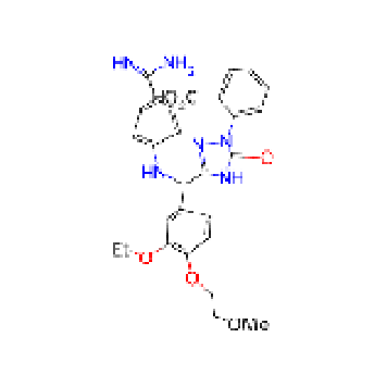 CCOc1cc(C(Nc2ccc(C(=N)N)cc2)c2nn(-c3ccccc3C(=O)O)c(=O)[nH]2)ccc1OCCOC